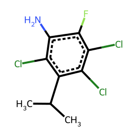 CC(C)c1c(Cl)c(N)c(F)c(Cl)c1Cl